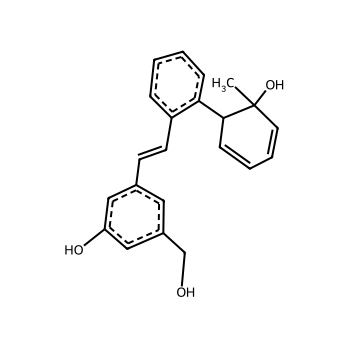 CC1(O)C=CC=CC1c1ccccc1/C=C/c1cc(O)cc(CO)c1